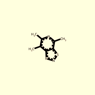 Cc1nc(C)c2snnc2c1C